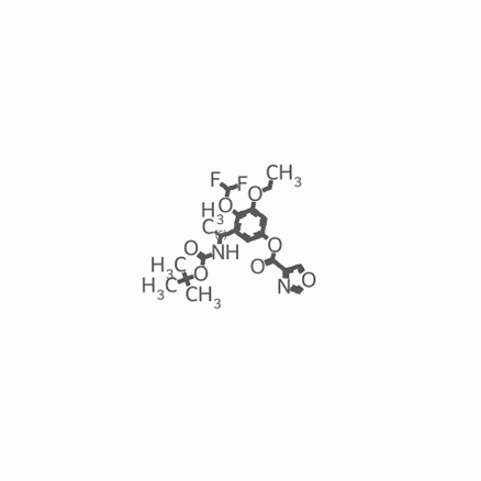 CCOc1cc(OC(=O)c2cocn2)cc([C@H](C)NC(=O)OC(C)(C)C)c1OC(F)F